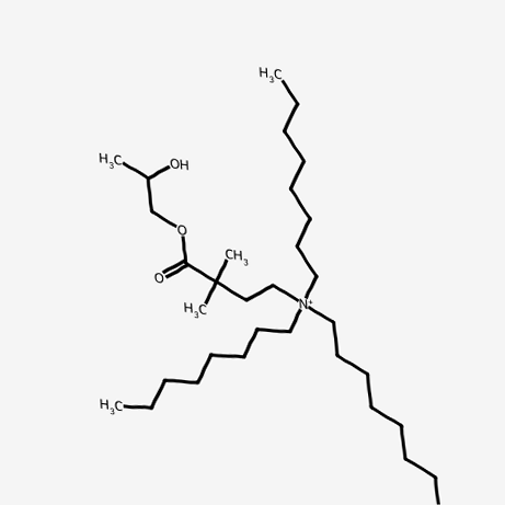 CCCCCCCC[N+](CCCCCCCC)(CCCCCCCC)CCC(C)(C)C(=O)OCC(C)O